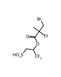 CCC(C)(CBr)C(=O)OC(CS(=O)(=O)O)C(F)(F)F